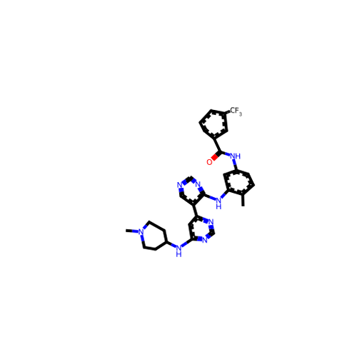 Cc1ccc(NC(=O)c2cccc(C(F)(F)F)c2)cc1Nc1ncncc1-c1cc(NC2CCN(C)CC2)ncn1